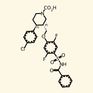 O=C(NS(=O)(=O)c1cc(F)c(OC[C@H]2CN(C(=O)O)CC[C@@H]2c2ccc(Cl)cc2)cc1F)c1ccccc1